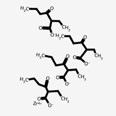 CCCC(=O)C(CC)C(=O)[O-].CCCC(=O)C(CC)C(=O)[O-].CCCC(=O)C(CC)C(=O)[O-].CCCC(=O)C(CC)C(=O)[O-].[Zr+4]